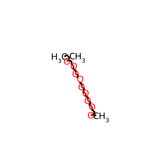 CCC(C)C(=O)CCOCCOCCOCCOCCOCCOCCOCCC(C)=O